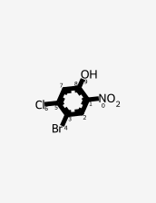 O=[N+]([O-])c1cc(Br)c(Cl)cc1O